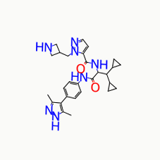 Cc1n[nH]c(C)c1-c1ccc(NC(=O)C(NC(=O)c2ccnn2CC2CNC2)C(C2CC2)C2CC2)cc1